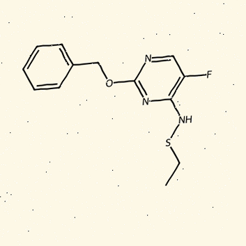 CCSNc1nc(OCc2ccccc2)ncc1F